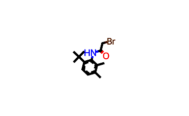 Cc1ccc(C(C)(C)C)c(NC(=O)CBr)c1C